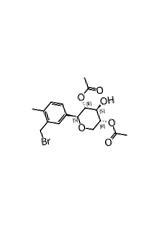 CC(=O)O[C@@H]1[C@@H](O)[C@H](OC(C)=O)CO[C@H]1c1ccc(C)c(CBr)c1